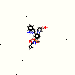 CN(C(=O)C1CCC1)S(=O)(=O)c1ccc(N2CCC(O)C2)c(-c2cc3ccccc3[nH]2)c1